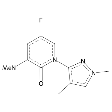 CNc1cc(F)cn(-c2nn(C)cc2C)c1=O